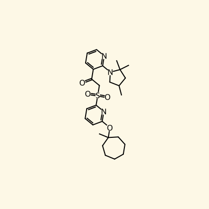 CC1CN(c2ncccc2C(=O)CS(=O)(=O)c2cccc(OC3(C)CCCCCC3)n2)C(C)(C)C1